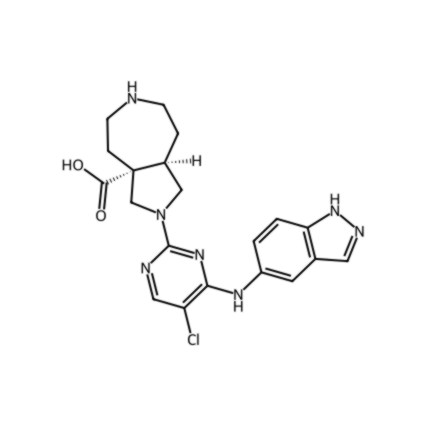 O=C(O)[C@]12CCNCC[C@H]1CN(c1ncc(Cl)c(Nc3ccc4[nH]ncc4c3)n1)C2